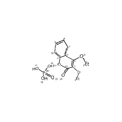 CCOc1c(OCC)c2ccccc2oc1=O.O=P(O)(O)O